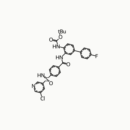 CC(C)(C)OC(=O)Nc1ccc(-c2ccc(F)cc2)cc1NC(=O)c1ccc(S(=N)(=O)c2cncc(Cl)c2)cc1